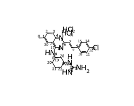 Cc1ccc2nc(C=Cc3ccc(Cl)cc3)nc(N[C@@H]3CCC[C@@H](NC(=N)N)C3)c2c1.Cl.Cl